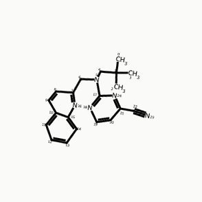 CC(C)(C)CN(Cc1ccc2ccccc2n1)c1nccc(C#N)n1